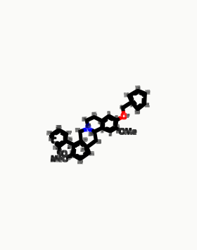 COc1cc2c(cc1OCc1ccccc1)CCN1Cc3c(ccc(OC)c3-c3ccccc3S(=O)(=O)O)CC21